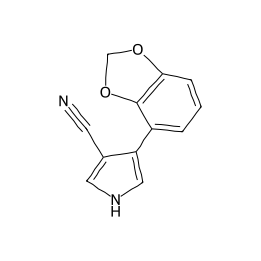 N#Cc1c[nH]cc1-c1cccc2c1OCO2